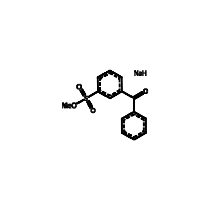 COS(=O)(=O)c1cccc(C(=O)c2ccccc2)c1.[NaH]